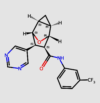 O=C(Nc1cccc(C(F)(F)F)c1)[C@@H]1[C@@H]2O[C@@H]([C@H]3C[C@H]32)[C@@H]1c1cncnc1